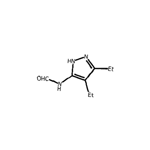 [CH2]Cc1n[nH]c(NC=O)c1CC